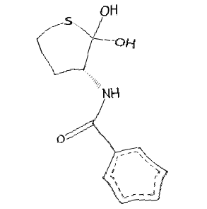 O=C(N[C@@H]1CCSC1(O)O)c1ccccc1